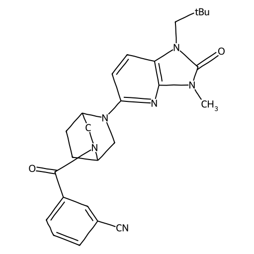 Cn1c(=O)n(CC(C)(C)C)c2ccc(N3CC4CCC3CN4C(=O)c3cccc(C#N)c3)nc21